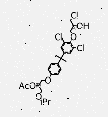 CC(=O)O[C@@H](COc1ccc(C(C)(C)c2cc(Cl)c(OC[C@H](O)CCl)c(Cl)c2)cc1)COC(C)C